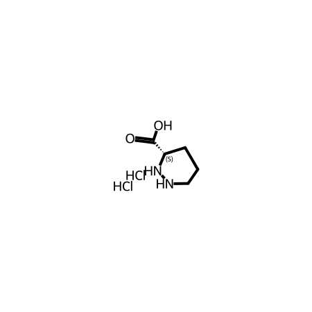 Cl.Cl.O=C(O)[C@@H]1CCCNN1